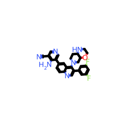 N#Cc1cncc(-c2ccc3ncc(-c4cc(F)cc(F)c4)c(N4CCC5NCCOC5C4)c3c2)c1N